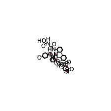 COc1ccc(CN(Cc2ccc(OC)cc2)S(=O)(=O)c2c(S(=O)(=O)CC[Si](C)(C)C)ccc(-c3cccc(NC(=O)CNC(=O)O)c3N)c2-c2nnn(Cc3ccc(OC)cc3)n2)cc1